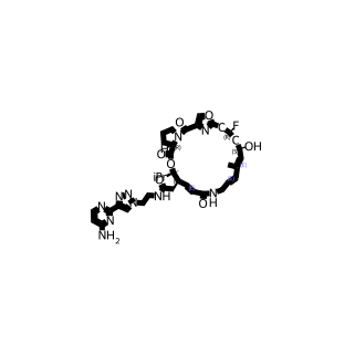 CC1=C\[C@@H](O)C[C@@H](F)Cc2nc(co2)C(=O)N2CCC[C@@H]2C(=O)O[C@H](C(C)C)[C@H](CC(=O)NCCn2cc(-c3nccc(N)n3)nn2)/C=C/C(=O)NC\C=C\1